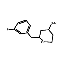 CC(=O)OC1CCNC(Cc2cccc(F)c2)C1